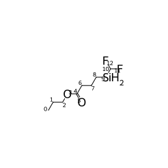 CCCOC(=O)CCC[SiH2]C(F)F